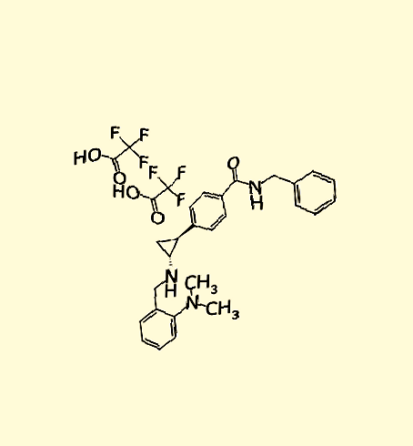 CN(C)c1ccccc1CN[C@@H]1C[C@H]1c1ccc(C(=O)NCc2ccccc2)cc1.O=C(O)C(F)(F)F.O=C(O)C(F)(F)F